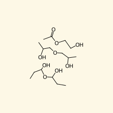 CC(=O)OCCO.CC(O)COCC(C)O.CCC(O)OC(O)CC